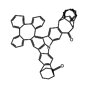 O=C1c2cc3c(cc2C2CCC1CC2)c1cc2c(c4c5cc6c(cc5n3c14)C(=O)C1c3cccc(c3)C6c3ccccc31)-c1ccccc1-c1ccccc1-c1ccccc1-2